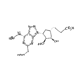 CCCCCSc1nc(NCCCC)c2nnn([C@@H]3C[C@H](CCC(=O)O)[C@@H](O)[C@H]3O)c2n1